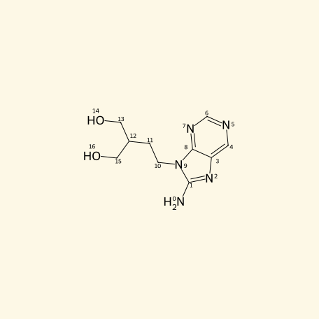 Nc1nc2cncnc2n1CCC(CO)CO